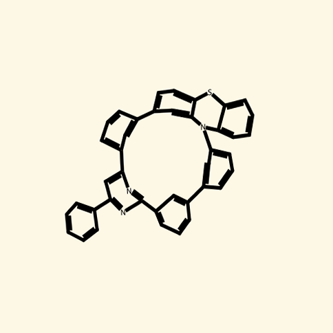 c1ccc(-c2cc3nc(n2)c2cccc(c2)c2cccc(c2)n2c4ccccc4sc4ccc(cc4-2)c2cccc3c2)cc1